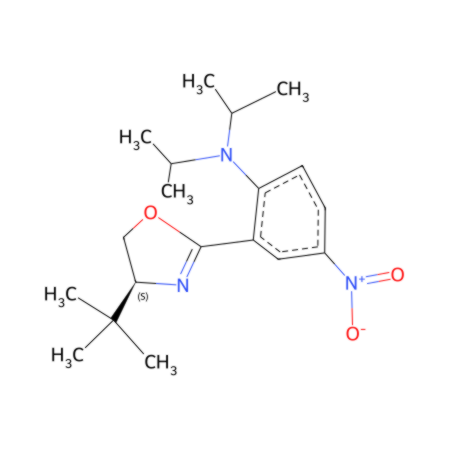 CC(C)N(c1ccc([N+](=O)[O-])cc1C1=N[C@@H](C(C)(C)C)CO1)C(C)C